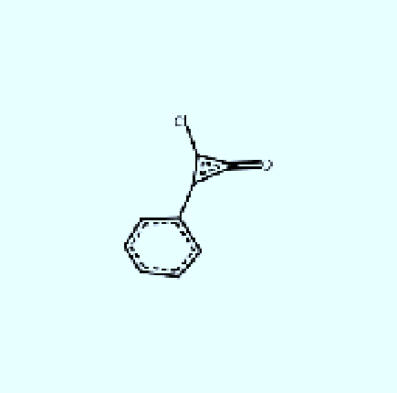 O=c1c(Cl)c1-c1ccccc1